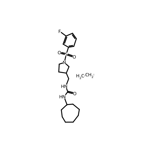 O=C(NCC1CCN(S(=O)(=O)c2cccc(F)c2)C1)N[C]1CCCCCCC1.[CH2].[CH2]